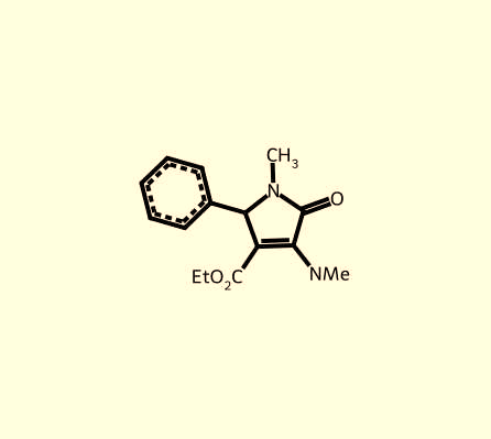 CCOC(=O)C1=C(NC)C(=O)N(C)C1c1ccccc1